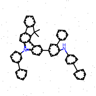 CC1(C)c2ccccc2-c2ccc3c(c21)c1cc(-c2ccc(Nc4ccc(-c5ccccc5)cc4)c(-c4ccccc4)c2)ccc1n3-c1cccc(-c2ccccc2)c1